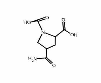 NC(=O)C1CC(C(=O)O)N(C(=O)O)C1